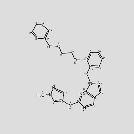 Cn1cc(Nc2ncc3cnn(Cc4ccccc4OCCOCc4ccccc4)c3n2)cn1